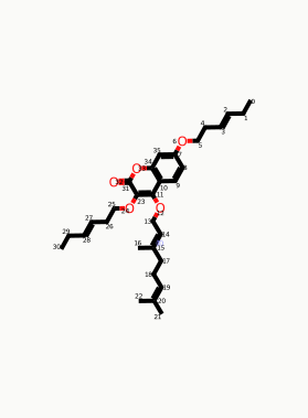 CCC=CCCOc1ccc2c(OC/C=C(\C)CCC=C(C)C)c(OCCC=CCC)c(=O)oc2c1